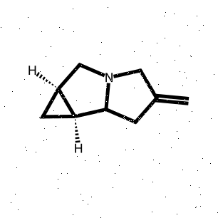 C=C1CC2[C@H]3C[C@H]3CN2C1